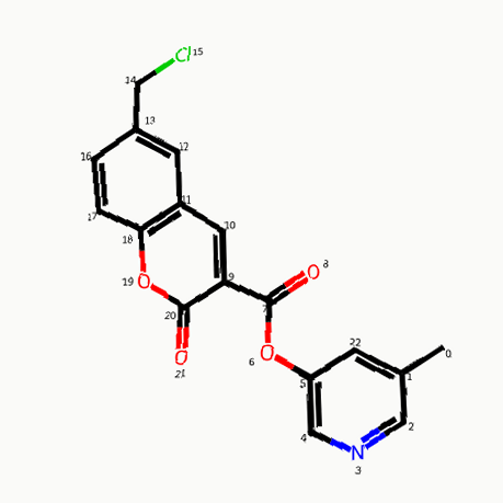 Cc1cncc(OC(=O)c2cc3cc(CCl)ccc3oc2=O)c1